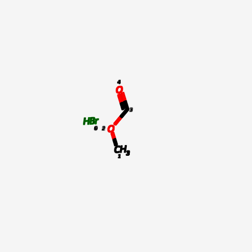 Br.COC=O